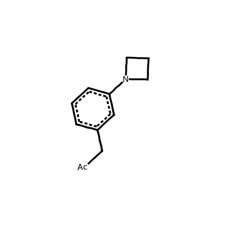 CC(=O)Cc1cccc(N2CCC2)c1